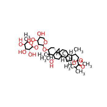 CO[C@@]1(C(=O)C(C)C)C[C@@H](C)[C@H]2[C@H](C[C@@]3(C)[C@@H]4C[C@H](O)[C@H]5C(C)(C)[C@@H](O[C@@H]6OC[C@@H](O)[C@H](O)[C@H]6O[C@@H]6O[C@@H](C)[C@H](O)[C@@H](O)[C@H]6O)CC[C@@]56C[C@@]46CC[C@]23C)O1